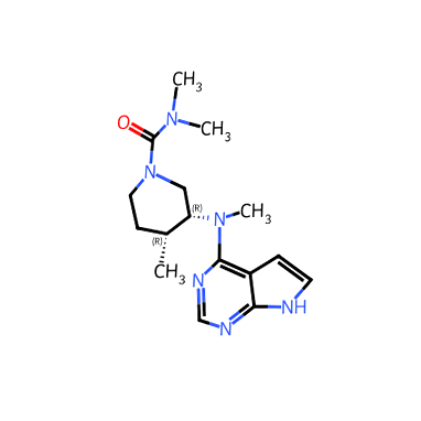 C[C@@H]1CCN(C(=O)N(C)C)C[C@@H]1N(C)c1ncnc2[nH]ccc12